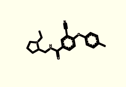 CCN1CCCC1CNC(=O)c1ccc(Oc2ccc(C)cc2)c(C#N)c1